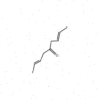 O=C(CC=CF)CC=CF